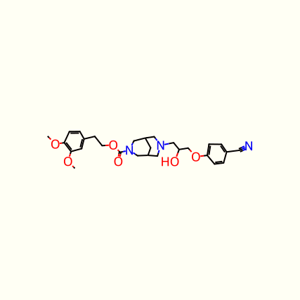 COc1ccc(CCOC(=O)N2CC3CC(CN(CC(O)COc4ccc(C#N)cc4)C3)C2)cc1OC